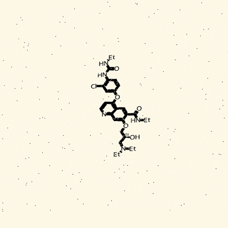 CCNC(=O)Nc1ccc(Oc2ccnc3cc(OC[C@@H](O)CN(CC)CC)c(C(=O)NCC)cc23)cc1Cl